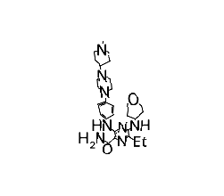 CCc1nc(C(N)=O)c(Nc2ccc(N3CCN(C4CCN(C)CC4)CC3)cc2)nc1NC1CCOCC1